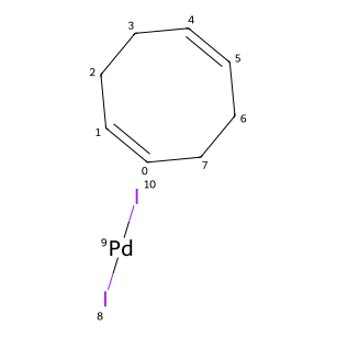 C1=CCCC=CCC1.[I][Pd][I]